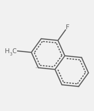 Cc1[c]c2ccccc2c(F)c1